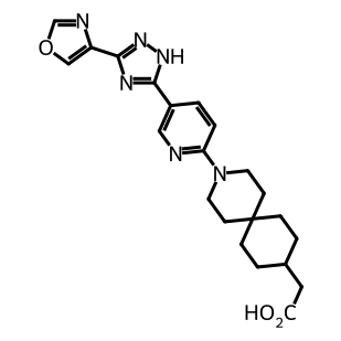 O=C(O)CC1CCC2(CC1)CCN(c1ccc(-c3nc(-c4cocn4)n[nH]3)cn1)CC2